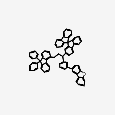 c1ccc(C2(c3ccccc3)c3ccccc3-c3c(CCC(c4cccc(-c5ccc6oc7ccccc7c6c5)c4)c4ccc5c(c4)C4(c6ccccc6-c6ccccc64)c4ccccc4-5)cccc32)cc1